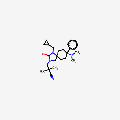 CN(C)[C@]1(c2ccccc2)CC[C@@]2(CC1)CN(CC(C)(C)C#N)C(O)N2CC1CC1